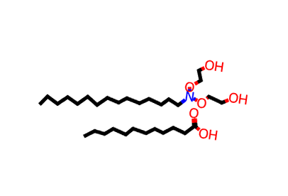 CCCCCCCCCCCC(=O)O.CCCCCCCCCCCCCCCN(OCCO)OCCO